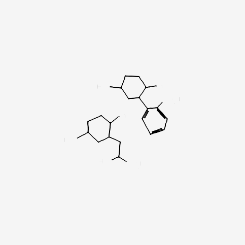 CC1CCC(C(C)C)C(CC(C)C(=O)O)C1.CC1CCC(C(C)C)C(c2ccccc2C(=O)O)C1